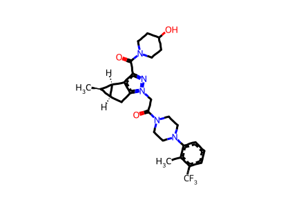 Cc1c(N2CCN(C(=O)Cn3nc(C(=O)N4CCC(O)CC4)c4c3C[C@H]3[C@@H](C)[C@@H]43)CC2)cccc1C(F)(F)F